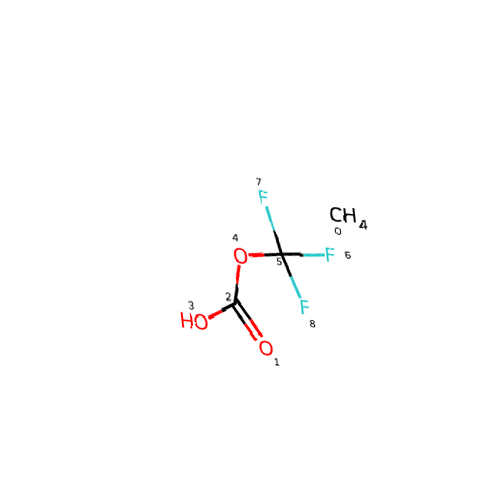 C.O=C(O)OC(F)(F)F